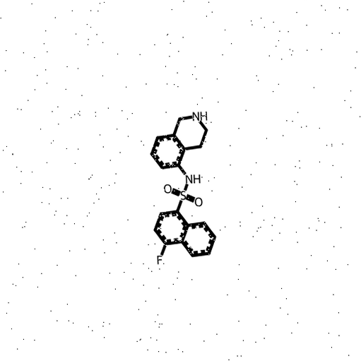 O=S(=O)(Nc1cccc2c1CCNC2)c1ccc(F)c2ccccc12